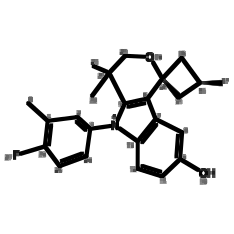 Cc1cc(-n2c3c(c4cc(O)ccc42)[C@]2(C[C@H](C)C2)OCC3(C)C)ccc1F